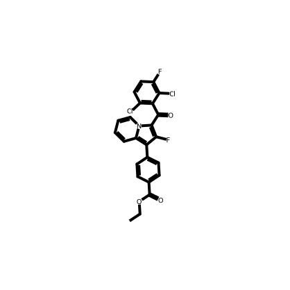 CCOC(=O)c1ccc(-c2c(F)c(C(=O)c3c(Cl)ccc(F)c3Cl)n3ccccc23)cc1